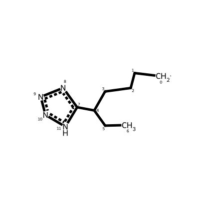 [CH2]CCCC(CC)c1nnn[nH]1